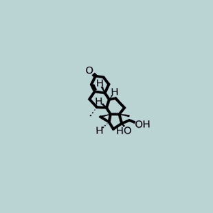 C[C@@H]1CC2=CC(=O)CC[C@@H]2[C@H]2CC[C@]3(C)[C@](O)(CO)C[C@H]4C[C@]43[C@@H]21